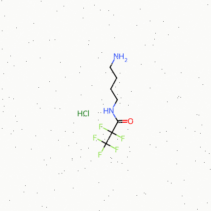 Cl.NCCCCNC(=O)C(F)(F)C(F)(F)F